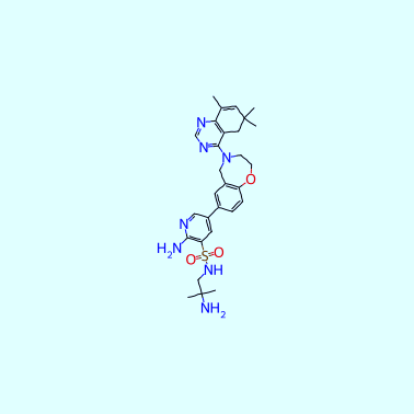 CC1=CC(C)(C)Cc2c1ncnc2N1CCOc2ccc(-c3cnc(N)c(S(=O)(=O)NCC(C)(C)N)c3)cc2C1